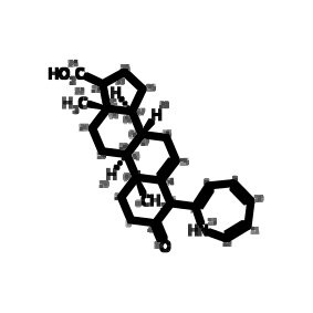 C[C@]12CCC(=O)C(C3=CC=CC=CN3)C1=CC[C@@H]1[C@@H]2CC[C@]2(C)C(C(=O)O)CC[C@@H]12